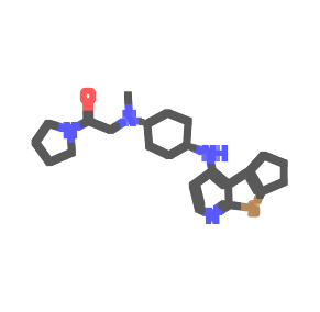 CN(CC(=O)N1CCCC1)[C@H]1CC[C@H](Nc2ccnc3sc4c(c23)CCC4)CC1